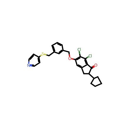 O=C1c2c(cc(OCc3cccc(CSc4ccncc4)c3)c(Cl)c2Cl)CC1C1CCCC1